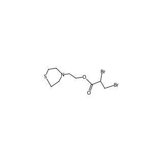 O=C(OCCN1CCSCC1)C(Br)CBr